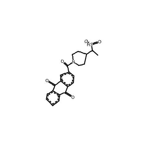 CC(C1CCN(C(=O)c2ccc3c(c2)C(=O)c2ccccc2C3=O)CC1)[SH](=O)=O